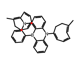 C\C1=C(N2c3ccccc3B3c4ccccc4N(/C4=C/C=C\C=C(/C)CC4)c4cccc2c43)/C=C\C=C/CC1